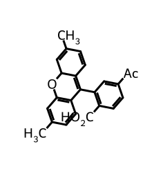 CC(=O)c1ccc(C(=O)O)c(C2=C3C=CC(C)=CC3Oc3cc(C)ccc32)c1